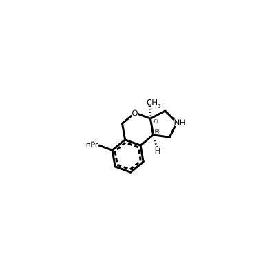 CCCc1cccc2c1CO[C@@]1(C)CNC[C@@H]21